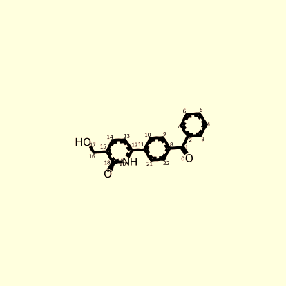 O=C(c1ccccc1)c1ccc(-c2ccc(CO)c(=O)[nH]2)cc1